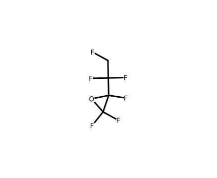 FCC(F)(F)C1(F)OC1(F)F